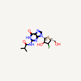 CC(C)C(=O)Nc1nc2c(ncn2[C@@H]2S[C@H](CO)C(F)C2O)c(=O)[nH]1